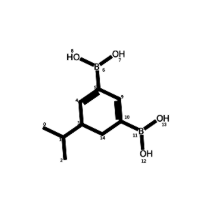 CC(C)C1C=C(B(O)O)C=C(B(O)O)C1